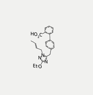 CC=CCn1nc(OCC)nc1Cc1ccc(-c2ccccc2C(=O)O)cc1